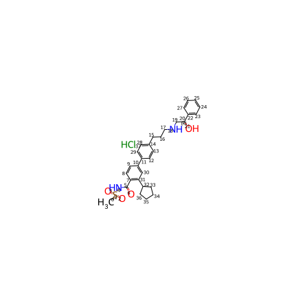 CS(=O)(=O)NC(=O)c1ccc(-c2ccc(CCCNC[C@H](O)c3ccccc3)cc2)cc1C1CCCC1.Cl